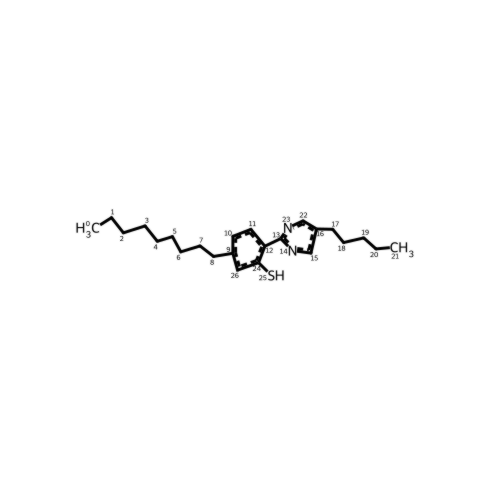 CCCCCCCCCc1ccc(-c2ncc(CCCCC)cn2)c(S)c1